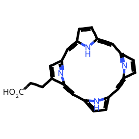 O=C(O)CCC1=Cc2cc3ccc(cc4nc(cc5ccc(cc1n2)[nH]5)C=C4)[nH]3